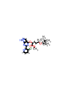 COC(=O)[C@H](CCCO[Si](C)(C)C(C)(C)C)Oc1nc(-c2ncccc2Cl)nc2[nH]ncc12